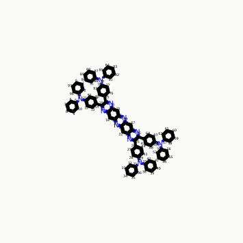 c1ccc(N(c2ccccc2)c2ccc(-c3nc4cc5nc6cc7nc(-c8ccc(N(c9ccccc9)c9ccccc9)cc8)c(-c8ccc(N(c9ccccc9)c9ccccc9)cc8)nc7cc6nc5cc4nc3-c3ccc(N(c4ccccc4)c4ccccc4)cc3)cc2)cc1